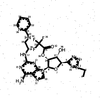 CCn1nnc([C@H]2O[C@@H](n3cnc4c(N)nc(NCCNc5ccccn5)nc43)[C@H](OC(=O)C(F)(F)F)[C@@H]2O)n1